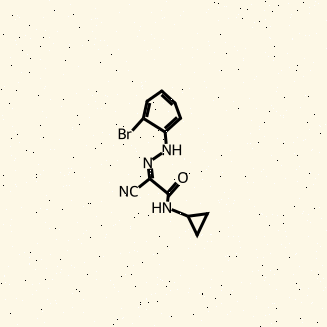 N#CC(=NNc1ccccc1Br)C(=O)NC1CC1